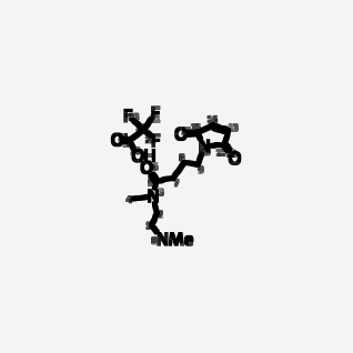 CNCCN(C)C(=O)CCCN1C(=O)C=CC1=O.O=C(O)C(F)(F)F